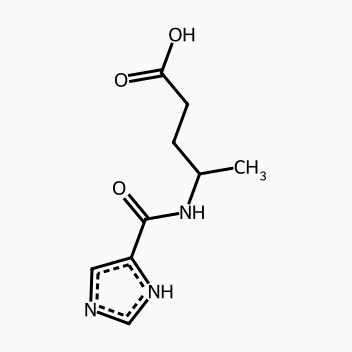 CC(CCC(=O)O)NC(=O)c1cnc[nH]1